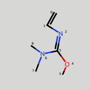 C=C/N=C(/OC)N(C)C